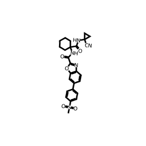 CS(=O)(=O)c1ccc(-c2ccc3nc(C(=O)NC4(C(=O)NC5(C#N)CC5)CCCCC4)oc3c2)cc1